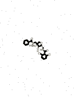 O=C(NC[C@H]1OC[C@@](O)(CN(O)C(=O)c2ccccc2)[C@@H]1O)c1c(Cl)cccc1Cl